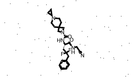 N#CCNC(=O)[C@H](CC(F)(F)Cc1ccccc1)NC(=O)N1CC2(CCN(C3CC3)CC2)C1